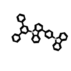 c1ccc(-c2cc(-c3ccccc3)cc(-n3c4ccccc4c4c(-c5ccc(-n6c7ccccc7c7ccccc76)cc5)cccc43)c2)cc1